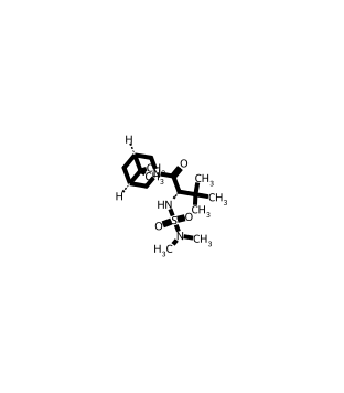 CN(C)S(=O)(=O)N[C@H](C(=O)N1C[C@H]2C[C@@H](C1)C2(C)C)C(C)(C)C